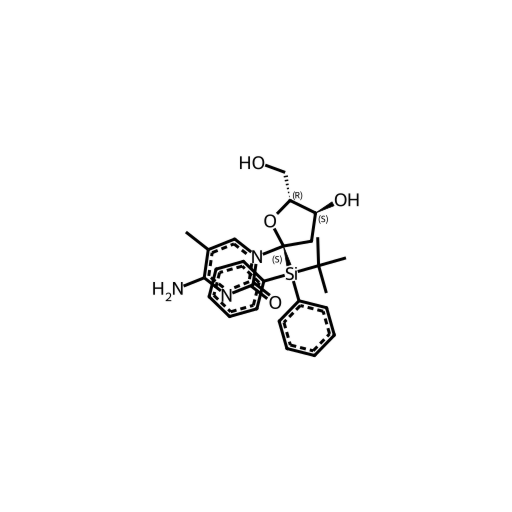 Cc1cn([C@@]2([Si](c3ccccc3)(c3ccccc3)C(C)(C)C)C[C@H](O)[C@@H](CO)O2)c(=O)nc1N